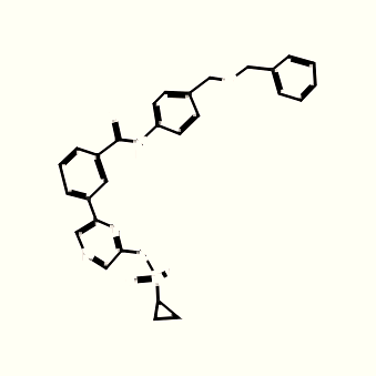 O=C(Nc1ccc(COCc2ccccc2)cc1)c1cccc(-c2cncc(NS(=O)(=O)C3CC3)n2)c1